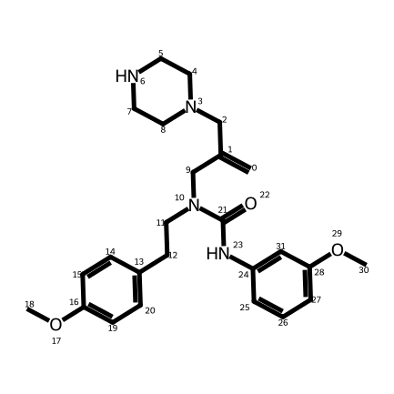 C=C(CN1CCNCC1)CN(CCc1ccc(OC)cc1)C(=O)Nc1cccc(OC)c1